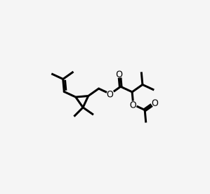 CC(=O)OC(C(=O)OCC1C(C=C(C)C)C1(C)C)C(C)C